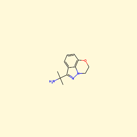 CC(C)(N)c1nn2c3c(cccc13)OCC2